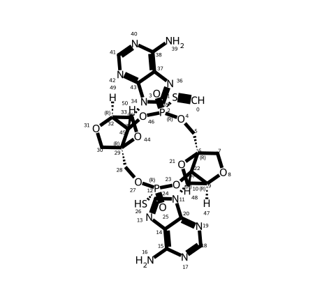 C#S[P@]1(=O)OC[C@@]23CO[C@@H]([C@H](n4cnc5c(N)ncnc54)O2)[C@@H]3O[P@](=O)(S)OC[C@@]23CO[C@@H]([C@H](n4cnc5c(N)ncnc54)O2)[C@@H]3O1